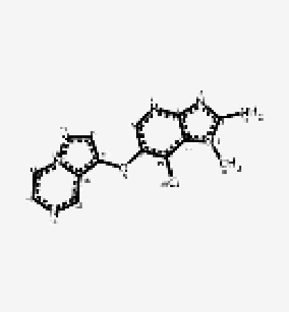 Cn1c(N)nc2ncc(Oc3cnn4ccncc34)c(Cl)c21